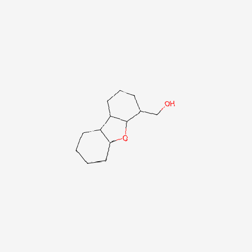 OCC1CCCC2C3CCCCC3OC12